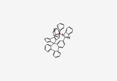 c1ccc(-n2c(-c3ccc4c(c3)C3(c5ccccc5-c5ccccc5-4)c4ccccc4-c4c3ccc3c4sc4ccccc43)nc3ccccc32)cc1